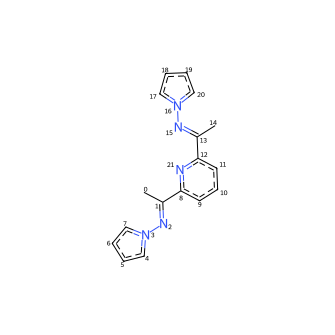 CC(=Nn1cccc1)c1cccc(C(C)=Nn2cccc2)n1